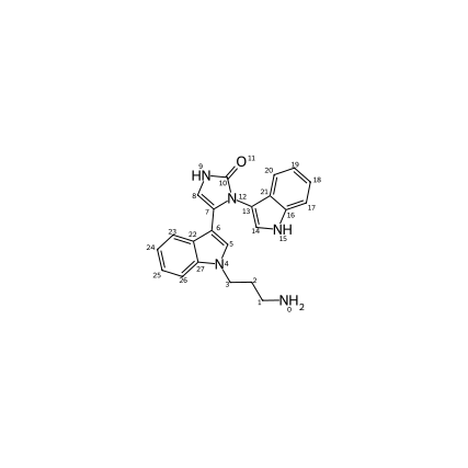 NCCCn1cc(-c2c[nH]c(=O)n2-c2c[nH]c3ccccc23)c2ccccc21